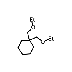 CCOCC1(COCC)CCCCC1